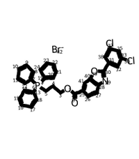 O=C(OCCC[P+](c1ccccc1)(c1ccccc1)c1ccccc1)c1ccc2nc(-c3cc(Cl)cc(Cl)c3)oc2c1.[Br-]